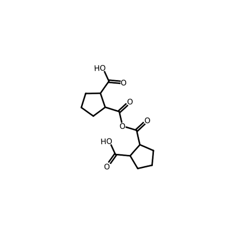 O=C(O)C1CCCC1C(=O)OC(=O)C1CCCC1C(=O)O